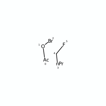 CC(=O)OBr.CCCCF